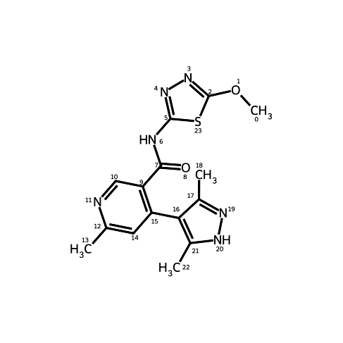 COc1nnc(NC(=O)c2cnc(C)cc2-c2c(C)n[nH]c2C)s1